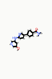 COc1cncc(Nc2ccc(-c3ccc(C(=O)N(C)C)cc3)cn2)c1